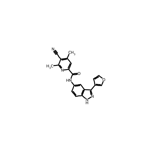 Cc1cc(C(=O)Nc2ccc3[nH]nc(-c4ccoc4)c3c2)nc(C)c1C#N